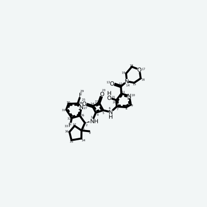 CC1([C@@H](Nc2c(Nc3ccnc(C(=O)N4CCOCC4)c3O)c(=O)c2=O)c2nc(F)ccc2F)CCCC1